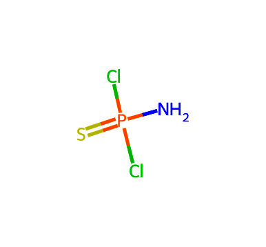 NP(=S)(Cl)Cl